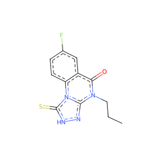 CCCn1c(=O)c2cc(F)ccc2n2c(=S)[nH]nc12